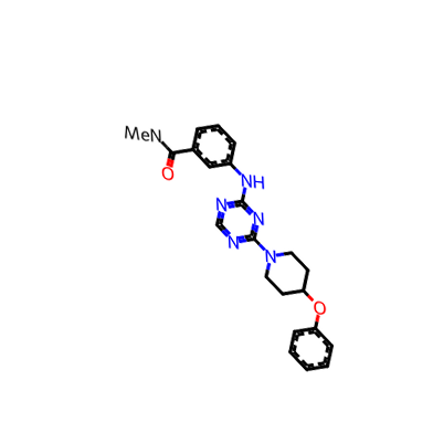 CNC(=O)c1cccc(Nc2ncnc(N3CCC(Oc4ccccc4)CC3)n2)c1